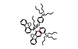 CCCCN(P(c1ccc([Si](CCCC)(CCCC)CCCC)cc1)c1ccc([Si](CCCC)(CCCC)CCCC)cc1)P(c1cccc2c1oc1ccccc12)c1cccc2c1oc1ccccc12